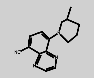 CC1CCCN(c2ccc(C#N)c3nccnc23)C1